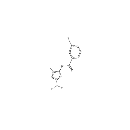 Cn1nc(C(F)F)cc1NC(=O)c1cccc(F)c1